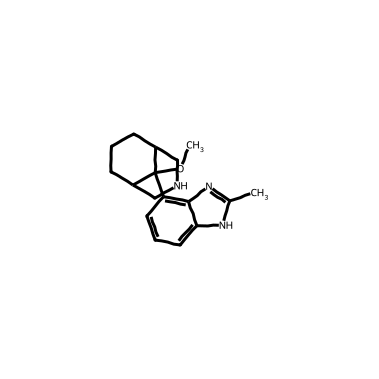 COC1(c2cccc3[nH]c(C)nc23)C2CCCC1CNC2